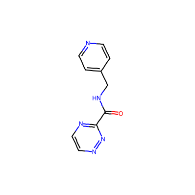 O=C(NCc1ccncc1)c1nccnn1